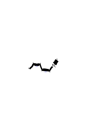 C#[N+]/C=C\C=C/C